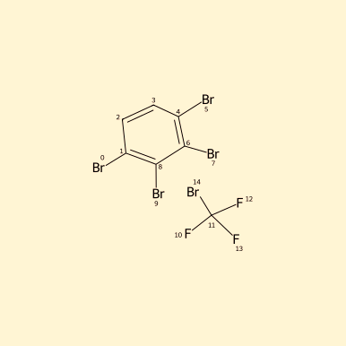 Brc1ccc(Br)c(Br)c1Br.FC(F)(F)Br